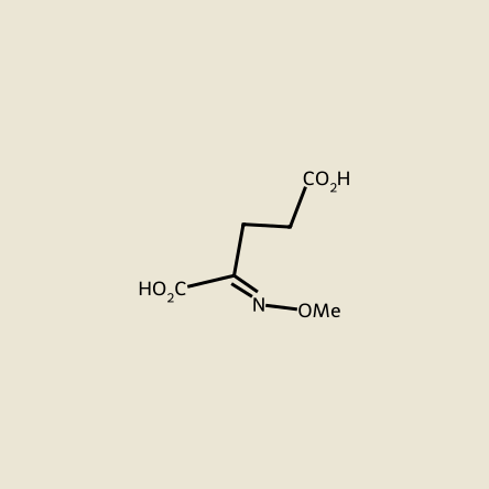 CO/N=C(\CCC(=O)O)C(=O)O